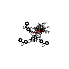 CC(C)C[Si]12O[Si]3(CCCN(CCN(CC(O)COc4ccc(C(=O)c5ccccc5)cc4)CC(O)COc4ccc(C(=O)c5ccccc5)cc4)CC(O)COc4ccc(C(=O)c5ccccc5)cc4)O[Si]4(CC(C)C)O[Si](CC(C)C)(O1)O[Si]1(CC(C)C)O[Si](CC(C)C)(O2)O[Si](CC(C)C)(O3)O[Si](CC(C)C)(O4)O1